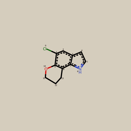 Clc1cc2cc[nH]c2c2c1OCCC2